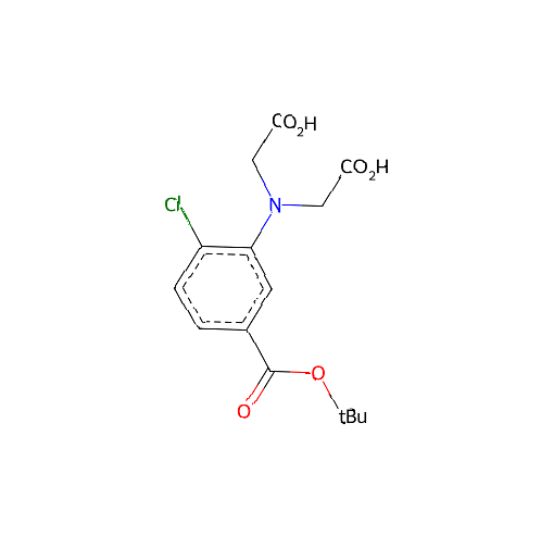 CC(C)(C)OC(=O)c1ccc(Cl)c(N(CC(=O)O)CC(=O)O)c1